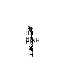 Cc1ccc(CNCCCNC(=N)NCCCc2c[nH]cn2)nc1